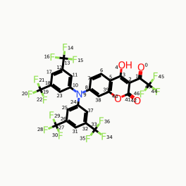 O=C(c1c(O)c2ccc(N(c3cc(C(F)(F)F)cc(C(F)(F)F)c3)c3cc(C(F)(F)F)cc(C(F)(F)F)c3)cc2oc1=O)C(F)(F)F